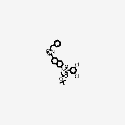 CC(C)(C)OC(=O)CN(c1ccc2cc(-c3noc(Cc4ccccc4)n3)ccc2c1)S(=O)(=O)c1cc(Cl)cc(Cl)c1